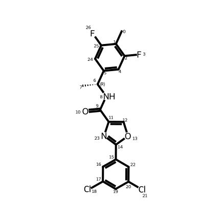 Cc1c(F)cc([C@@H](C)NC(=O)c2coc(-c3cc(Cl)cc(Cl)c3)n2)cc1F